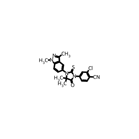 Cc1nn(C)c2ccc(N3C(=S)N(c4ccc(C#N)c(Cl)c4)C(=O)C3(C)C)cc12